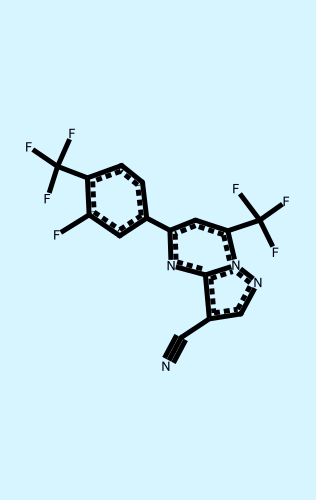 N#Cc1cnn2c(C(F)(F)F)cc(-c3ccc(C(F)(F)F)c(F)c3)nc12